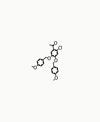 COc1ccc(COc2cc(Cl)c(C(C)=O)cc2OCc2ccc(OC)cc2)cc1